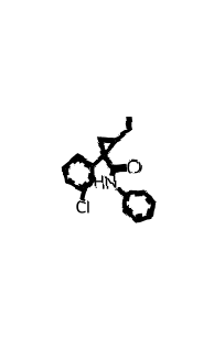 C=CC1CC1(C(=O)Nc1ccccc1)c1cccc(Cl)c1